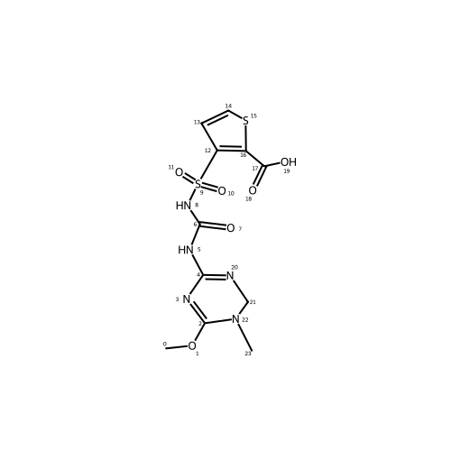 COC1=NC(NC(=O)NS(=O)(=O)c2ccsc2C(=O)O)=NCN1C